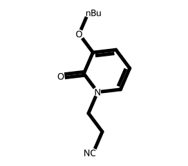 CCCCOc1cccn(CCC#N)c1=O